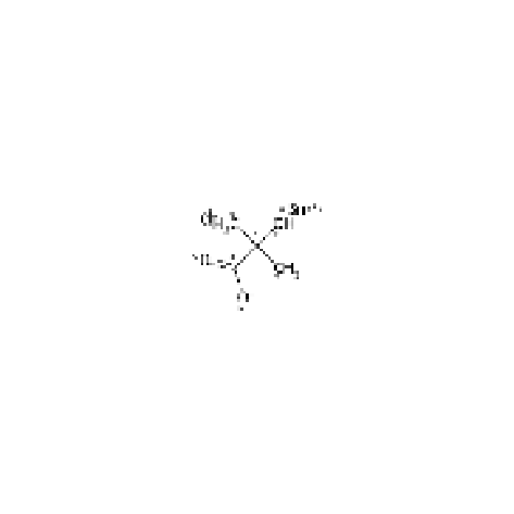 CC(C)(O)C(=O)[O-].[Cl-].[Sn+2]